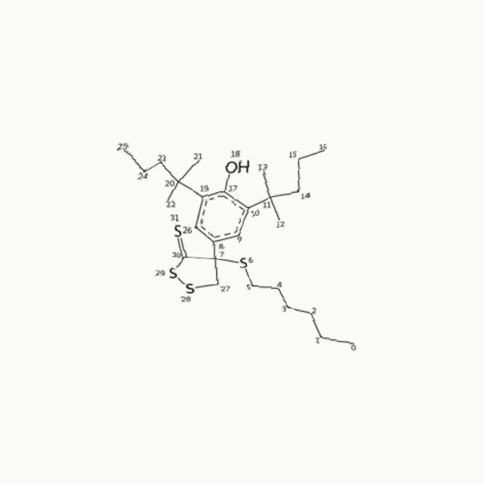 CCCCCCSC1(c2cc(C(C)(C)CCC)c(O)c(C(C)(C)CCC)c2)CSSC1=S